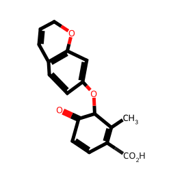 CC1=C(C(=O)O)C=CC(=O)C1Oc1ccc2c(c1)OCC=C2